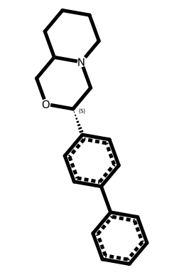 c1ccc(-c2ccc([C@H]3CN4CCCCC4CO3)cc2)cc1